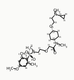 COc1cc(C)c(S(=O)(=O)N(C)CCOCC(=O)N(C)[C@H]2CC[C@@H](OCCN(C)C3CC3)CC2)c(C)c1